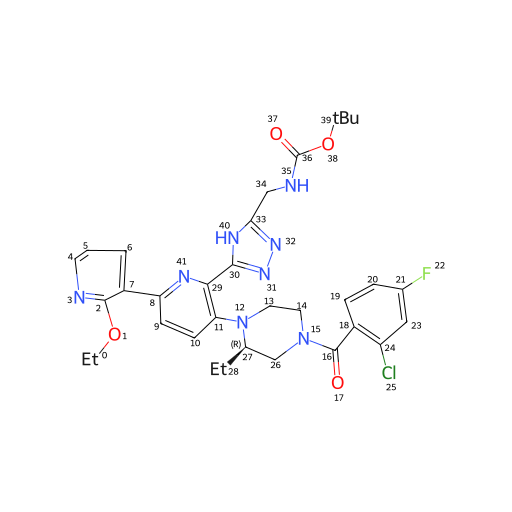 CCOc1ncccc1-c1ccc(N2CCN(C(=O)c3ccc(F)cc3Cl)C[C@H]2CC)c(-c2nnc(CNC(=O)OC(C)(C)C)[nH]2)n1